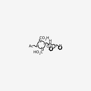 CC(=O)CCN1CCN(CC(=O)O)CCN(CC(=O)NCCN(Cc2ccccn2)Cc2ccccn2)CCN(CC(=O)O)CC1